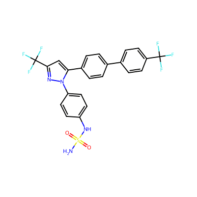 NS(=O)(=O)Nc1ccc(-n2nc(C(F)(F)F)cc2-c2ccc(-c3ccc(C(F)(F)F)cc3)cc2)cc1